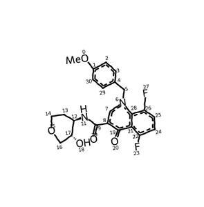 COc1ccc(Cn2cc(C(=O)N[C@@H]3CCOC[C@H]3O)c(=O)c3c(F)ccc(F)c32)cc1